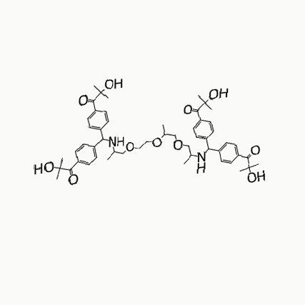 CC(COCCOC(C)COCC(C)NC(c1ccc(C(=O)C(C)(C)O)cc1)c1ccc(C(=O)C(C)(C)O)cc1)NC(c1ccc(C(=O)C(C)(C)O)cc1)c1ccc(C(=O)C(C)(C)O)cc1